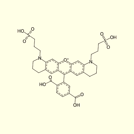 O=C(O)c1ccc(C(=O)O)c(-c2c3cc4c(cc3[o+]c3cc5c(cc23)CCCN5CCCS(=O)(=O)O)N(CCCS(=O)(=O)O)CCC4)c1